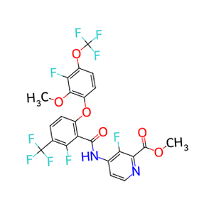 COC(=O)c1nccc(NC(=O)c2c(Oc3ccc(OC(F)(F)F)c(F)c3OC)ccc(C(F)(F)F)c2F)c1F